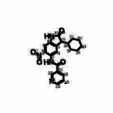 O=C(Nc1cc2c(cc1[N+](=O)[O-])NC(=O)C2C1CCCCC1)c1cccnc1